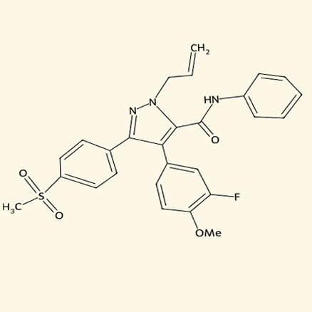 C=CCn1nc(-c2ccc(S(C)(=O)=O)cc2)c(-c2ccc(OC)c(F)c2)c1C(=O)Nc1ccccc1